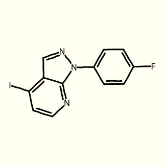 Fc1ccc(-n2ncc3c(I)ccnc32)cc1